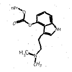 CCCOC(=O)Oc1cccc2[nH]cc(CCN(C)C)c12